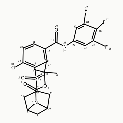 CC(C)(C)OC(=O)N1C2CC1CC(S(=O)(=O)c1cc(C(=O)Nc3cc(F)c(F)c(F)c3)ccc1Cl)C2